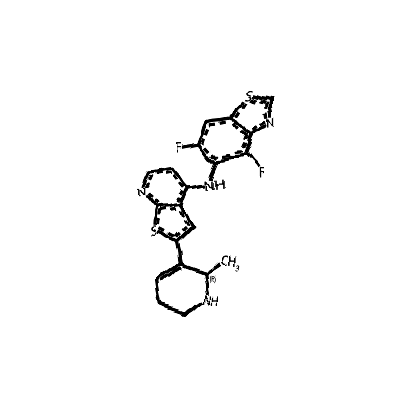 C[C@H]1NCCC=C1c1cc2c(Nc3c(F)cc4scnc4c3F)ccnc2s1